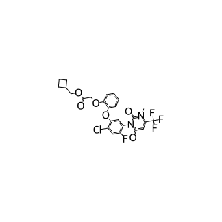 Cn1c(C(F)(F)F)cc(=O)n(-c2cc(Oc3ccccc3OCC(=O)OCC3CCC3)c(Cl)cc2F)c1=O